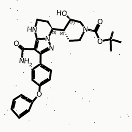 CC(C)(C)OC(=O)N1CC[C@H]([C@@H]2CCNc3c(C(N)=O)c(-c4ccc(Oc5ccccc5)cc4)nn32)[C@@H](O)C1